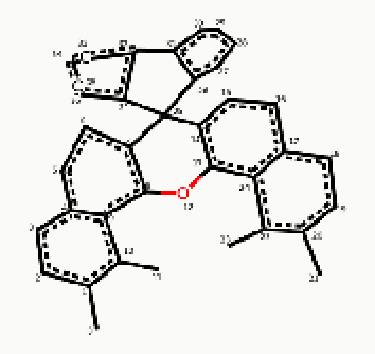 Cc1ccc2ccc3c(c2c1C)Oc1c(ccc2ccc(C)c(C)c12)C31c2ccccc2-c2ccccc21